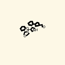 O=CCc1ccc(-c2ccccc2[C@@H]2CNC[C@H]2C(=O)N2CCOC[C@@H]2c2ccccc2)cc1